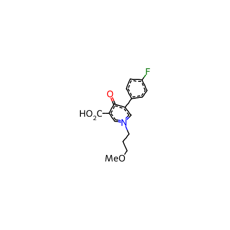 COCCCn1cc(C(=O)O)c(=O)c(-c2ccc(F)cc2)c1